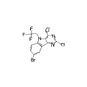 FC(F)(F)Cn1c2ccc(Br)cc2c2nc(Cl)nc(Cl)c21